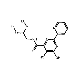 CCOC(CNC(=O)c1nc(-c2ccccn2)nc(O)c1O)OCC